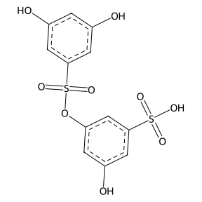 O=S(=O)(O)c1cc(O)cc(OS(=O)(=O)c2cc(O)cc(O)c2)c1